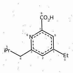 CCc1cc(CC(C)C)nc(C(=O)O)c1